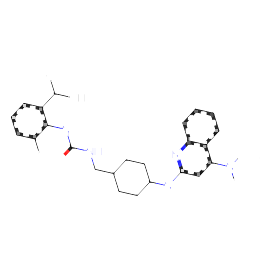 Cc1cccc(C(C)C)c1NC(=O)NCC1CCC(Nc2cc(N(C)C)c3ccccc3n2)CC1